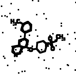 CCS(=O)(=O)N1CCC(Oc2cc(-c3cccc(C)c3)cc3ccncc23)CC1